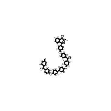 Cc1ccc(C(=O)c2ccc(Oc3ccc(-c4ccc(Oc5ccc(C(=O)c6ccc(Oc7ccc(-c8nn(C)c(=O)c9ccccc89)cc7)cc6)cc5)cc4)cc3)cc2)cc1